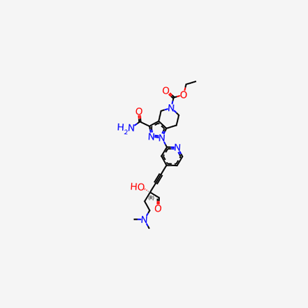 CCOC(=O)N1CCc2c(c(C(N)=O)nn2-c2cc(C#C[C@@](O)(C=O)CCN(C)C)ccn2)C1